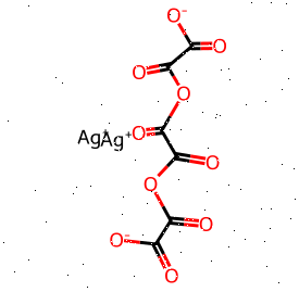 O=C([O-])C(=O)OC(=O)C(=O)OC(=O)C(=O)[O-].[Ag+].[Ag+]